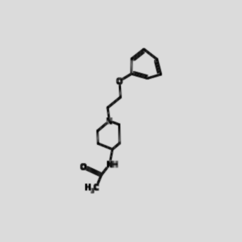 CC(=O)NC1CCN(CCOc2ccccc2)CC1